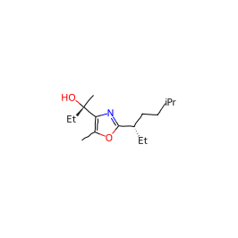 CC[C@@H](CCC(C)C)c1nc([C@@](C)(O)CC)c(C)o1